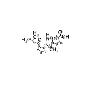 CC(C)CC(=O)N1CCC[C@H]1CN(C)c1ccc(C(=O)O)cc1N